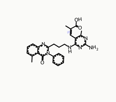 C/C(=C/c1c(C)nc(N)nc1NCCCc1nc2cccc(C)c2c(=O)n1-c1ccccc1)C(=O)O